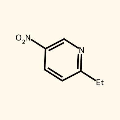 CCc1ccc([N+](=O)[O-])cn1